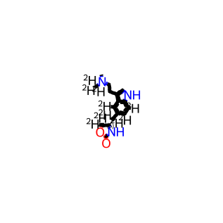 [2H]c1c(C([2H])([2H])[C@@H]2NC(=O)OC2([2H])[2H])c([2H])c2c(CCN(C)C([2H])([2H])[2H])c[nH]c2c1[2H]